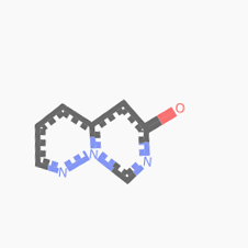 O=c1cc2cccnn2cn1